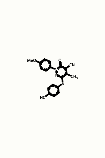 COc1ccc(-n2nc(Sc3ccc(C#N)cc3)c(C)c(C#N)c2=O)cc1